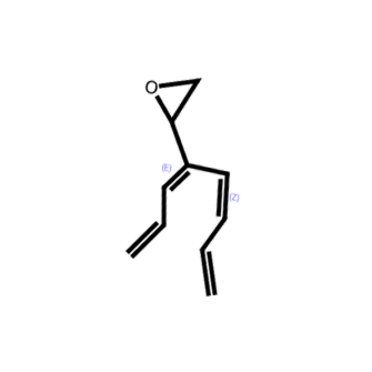 C=C/C=C\C(=C/C=C)C1CO1